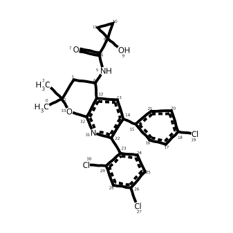 CC1(C)CC(NC(=O)C2(O)CC2)c2cc(-c3ccc(Cl)cc3)c(-c3ccc(Cl)cc3Cl)nc2O1